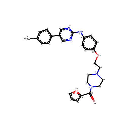 COc1ccc(-c2cnc(Nc3ccc(OCCN4CCN(C(=O)c5ccco5)CC4)cc3)nc2)cc1